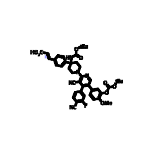 COc1ccc(-c2cnc(N3CCC(NC(=O)OC(C)(C)C)(c4ccc(/C=C/C(=O)O)cc4)CC3)c(C#N)c2-c2ccc(C#N)c(F)c2)cc1OC(=O)OC(C)(C)C